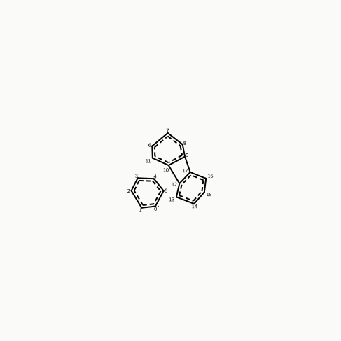 [c]1ccccc1.c1ccc2c(c1)-c1ccccc1-2